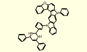 C1=C(c2ccccc2)NC(c2cccc(-n3c4ccccc4c4cc5c(cc43)c3c4c(ccc3n5-c3ccccc3)oc3ccccc34)c2)NC1c1ccccc1